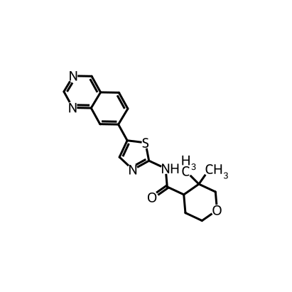 CC1(C)COCCC1C(=O)Nc1ncc(-c2ccc3cncnc3c2)s1